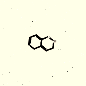 [CH]1C=C2CC=CC=C2ON1